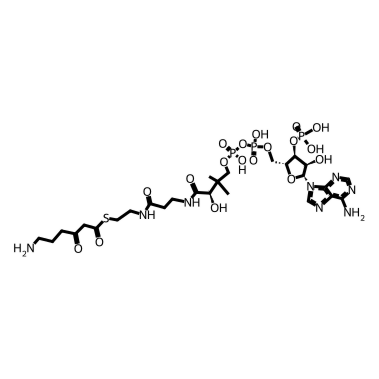 CC(C)(COP(=O)(O)OP(=O)(O)OC[C@H]1O[C@@H](n2cnc3c(N)ncnc32)[C@H](O)[C@@H]1OP(=O)(O)O)[C@@H](O)C(=O)NCCC(=O)NCCSC(=O)CC(=O)CCCN